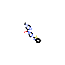 CCN1CCN[C@@H](C(=O)N2CCN(c3nc4ccccc4s3)CC2)C1